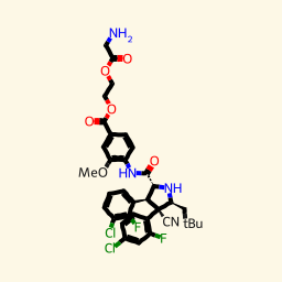 COc1cc(C(=O)OCCOC(=O)CN)ccc1NC(=O)[C@@H]1N[C@@H](CC(C)(C)C)[C@](C#N)(c2ccc(Cl)cc2F)[C@H]1c1cccc(Cl)c1F